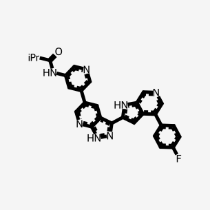 CC(C)C(=O)Nc1cncc(-c2cnc3[nH]nc(-c4cc5c(-c6ccc(F)cc6)cncc5[nH]4)c3c2)c1